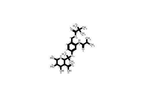 CC(C)C(=O)Nc1cc(OC(C)(C)C2OC(O)C(O)C(O)C2C(=O)O)ccc1COC(=O)C(C)(C)C